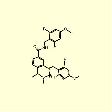 COc1cc(F)c(CNC(=O)c2ccc3c(c2)N(Cc2c(F)cc(OC)cc2F)C(=O)N(C)C3C)c(F)c1